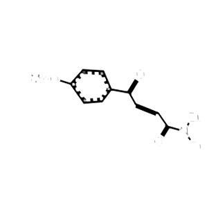 CCN(CC)C(=O)/C=C/C(=O)c1ccc(OC)cc1